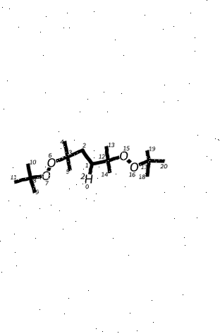 [2H]C(CC(C)(C)OOC(C)(C)C)C(C)(C)OOC(C)(C)C